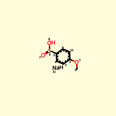 COc1ccc(S(=O)O)cc1.[NaH]